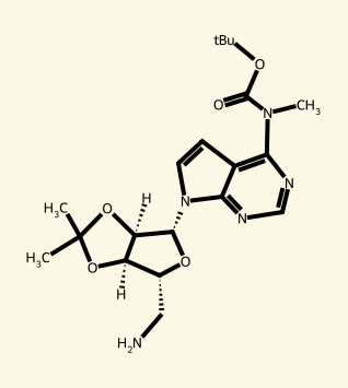 CN(C(=O)OC(C)(C)C)c1ncnc2c1ccn2[C@@H]1O[C@H](CN)[C@H]2OC(C)(C)O[C@H]21